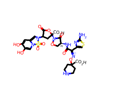 Nc1nc(/C(=N/OC2(C(=O)O)CCNCC2)C(=O)N[C@H]2CON(C3(C(=O)O)CC(N4C=C5C=C(O)C(O)=CN5S4(=O)=O)C(=O)O3)C2=O)cs1